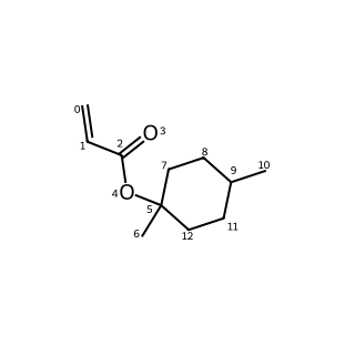 C=CC(=O)OC1(C)CCC(C)CC1